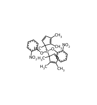 CC1=C(C)[C](C)([Zr]([O]c2ccccc2[N+](=O)[O-])([O]c2ccccc2[N+](=O)[O-])[C]2(C)C=CC(C)=C2C)C=C1